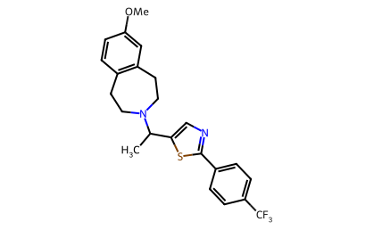 COc1ccc2c(c1)CCN(C(C)c1cnc(-c3ccc(C(F)(F)F)cc3)s1)CC2